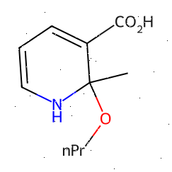 CCCOC1(C)NC=CC=C1C(=O)O